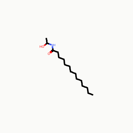 CCCCCCCCCCCCCC(=O)N[C](C)O